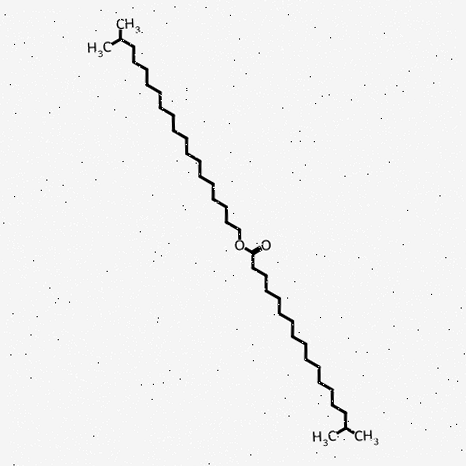 CC(C)CCCCCCCCCCCCCCCCCOC(=O)CCCCCCCCCCCCCCC(C)C